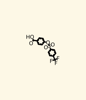 O=C(O)c1ccc(OS(=O)(=O)c2ccc(C(F)(F)F)cc2)cc1